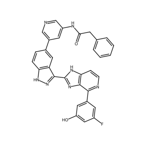 O=C(Cc1ccccc1)Nc1cncc(-c2ccc3[nH]nc(-c4nc5c(-c6cc(O)cc(F)c6)nccc5[nH]4)c3c2)c1